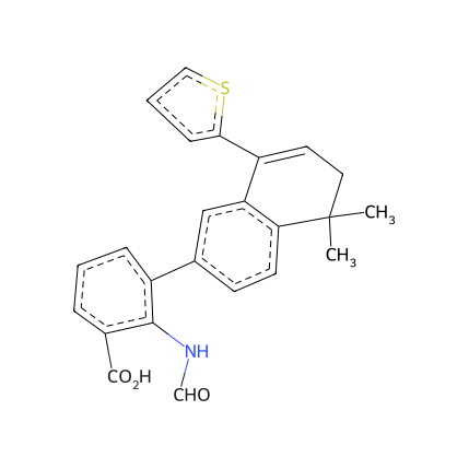 CC1(C)CC=C(c2cccs2)c2cc(-c3cccc(C(=O)O)c3NC=O)ccc21